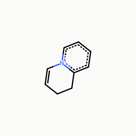 C1=C[n+]2ccccc2CC1